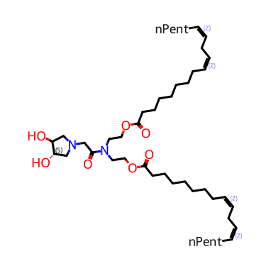 CCCCC/C=C\C/C=C\CCCCCCCC(=O)OCCN(CCOC(=O)CCCCCCC/C=C\C/C=C\CCCCC)C(=O)CN1CC(O)[C@@H](O)C1